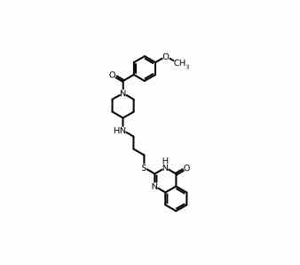 COc1ccc(C(=O)N2CCC(NCCCSc3nc4ccccc4c(=O)[nH]3)CC2)cc1